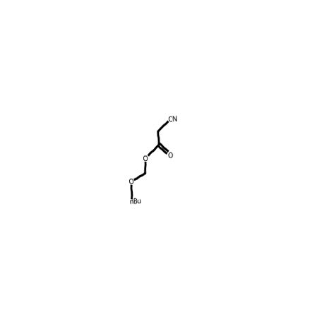 CCCCOCOC(=O)CC#N